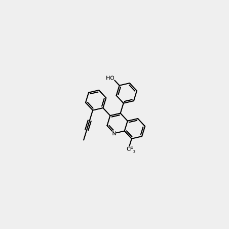 CC#Cc1ccccc1-c1cnc2c(C(F)(F)F)cccc2c1-c1cccc(O)c1